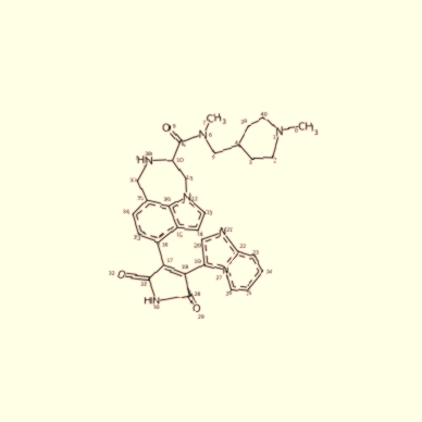 CN1CCC(CN(C)C(=O)C2Cn3ccc4c(C5=C(c6cnc7ccccn67)C(=O)NC5=O)ccc(c43)CN2)CC1